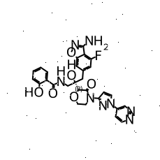 Nc1noc2cc(CC(O)(CNC(=O)c3ccccc3O)[C@H]3OCCN(c4ccn(-c5ccnnc5)n4)C3=O)cc(F)c12